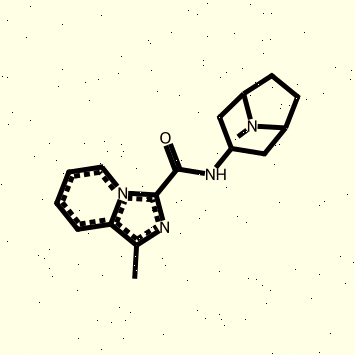 Cc1nc(C(=O)NC2CC3CCC(C2)N3C)n2ccccc12